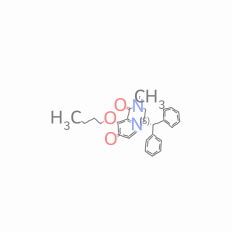 CCCCOc1c2n(ccc1=O)[C@@H](C(c1ccccc1)c1ccccc1)CN(C)C2=O